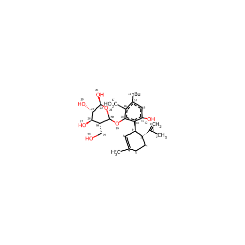 C=C(C)[C@@H]1CCC(C)=C[C@H]1c1c(O)cc(CCCC)c(C(=O)O)c1OC1O[C@H](O)[C@@H](O)[C@H](O)[C@H]1CO